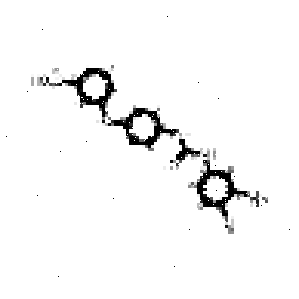 O=C(Nc1ccc(Oc2cccc(C(=O)O)c2)cc1)Nc1ccc(Cl)c(C(F)(F)F)c1